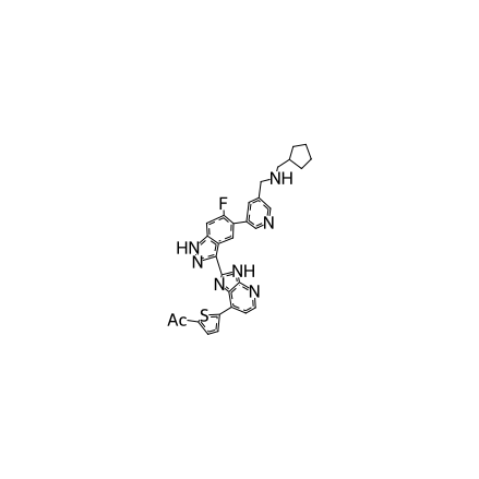 CC(=O)c1ccc(-c2ccnc3[nH]c(-c4n[nH]c5cc(F)c(-c6cncc(CNCC7CCCC7)c6)cc45)nc23)s1